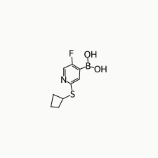 OB(O)c1cc(SC2CCC2)ncc1F